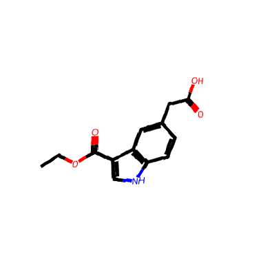 CCOC(=O)c1c[nH]c2ccc(CC(=O)O)cc12